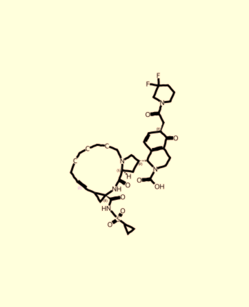 O=C1C2=C(C=C[C@H]1CC(=O)N1CCCC(F)(F)C1)C([C@@H]1C[C@H]3C(=O)N[C@]4(C(=O)NS(=O)(=O)C5CC5)CC4/C=C\CCCCCCCN3C1)N(C(=O)O)CC2